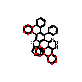 c1ccc(-c2ccccc2-c2nnnc(-c3c(-c4ccccc4)c(-c4ccccc4-c4ccccc4)c(-c4ccccc4)c4oc5ccccc5c34)c2-c2ccccc2-c2ccccc2)cc1